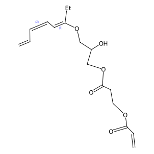 C=C/C=C\C=C(/CC)OCC(O)COC(=O)CCOC(=O)C=C